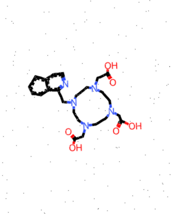 O=C(O)CN1CCN(CC(=O)O)CCN(Cc2nccc3ccccc23)CCN(CC(=O)O)CC1